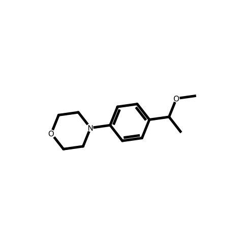 COC(C)c1ccc(N2CCOCC2)cc1